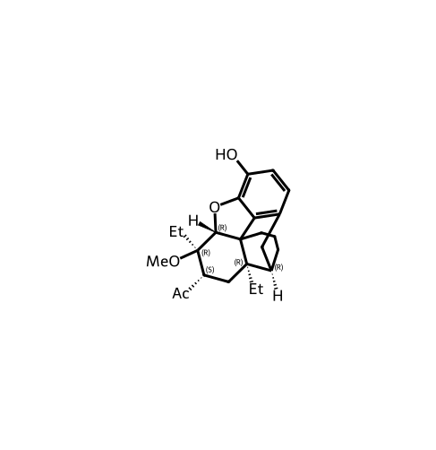 CC[C@@]1(OC)[C@@H](C(C)=O)C[C@]2(CC)[C@@H]3CCCC24c2c(ccc(O)c2O[C@H]41)C3